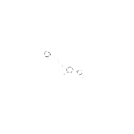 [CH2][C@@](C)(N)c1nnc(-c2ccc(OCCCCCc3ccccc3F)c(C(F)(F)F)c2)s1